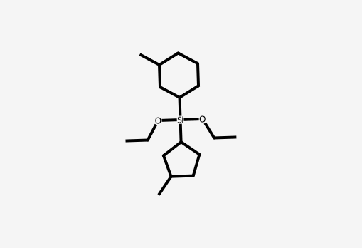 CCO[Si](OCC)(C1CCCC(C)C1)C1CCC(C)C1